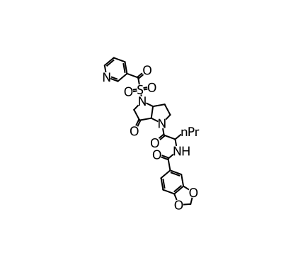 CCCC(NC(=O)c1ccc2c(c1)OCO2)C(=O)N1CCC2C1C(=O)CN2S(=O)(=O)C(=O)c1cccnc1